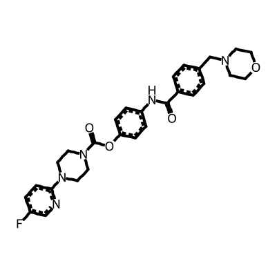 O=C(Nc1ccc(OC(=O)N2CCN(c3ccc(F)cn3)CC2)cc1)c1ccc(CN2CCOCC2)cc1